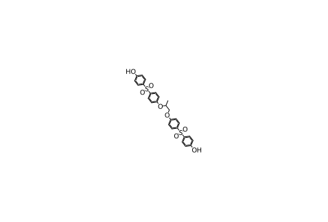 CC(COc1ccc(S(=O)(=O)c2ccc(O)cc2)cc1)Oc1ccc(S(=O)(=O)c2ccc(O)cc2)cc1